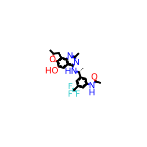 CC(=O)Nc1cc([C@@H](C)Nc2nc(C)nc3c4c(c(O)cc23)OC(C)C4)cc(C(F)(F)F)c1